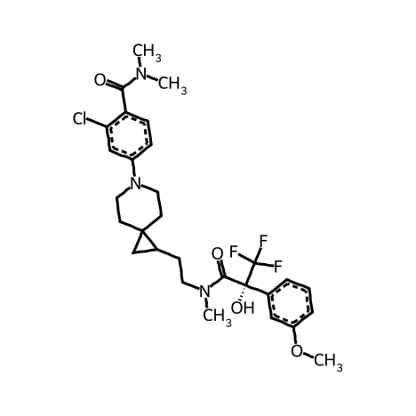 COc1cccc([C@@](O)(C(=O)N(C)CCC2CC23CCN(c2ccc(C(=O)N(C)C)c(Cl)c2)CC3)C(F)(F)F)c1